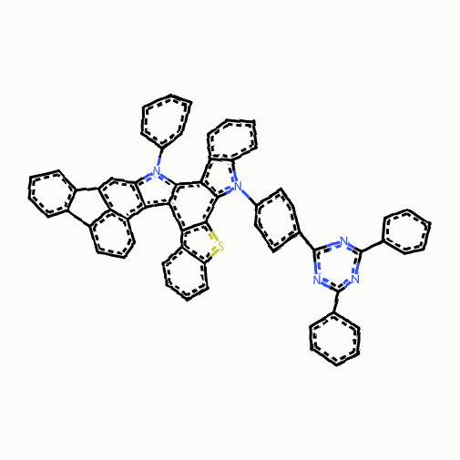 c1ccc(-c2nc(-c3ccccc3)nc(-c3ccc(-n4c5ccccc5c5c4c4sc6ccccc6c4c4c6c7cccc8c7c(cc6n(-c6ccccc6)c45)-c4ccccc4-8)cc3)n2)cc1